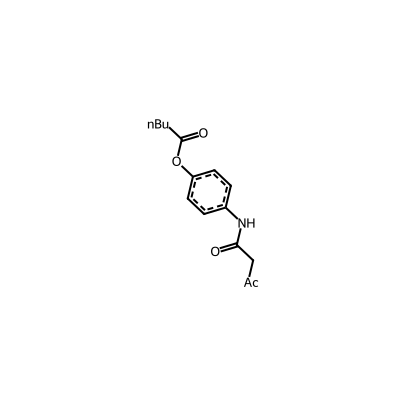 CCCCC(=O)Oc1ccc(NC(=O)CC(C)=O)cc1